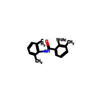 CC(=O)Nc1c(C)cccc1C(=O)Nc1c(C)cccc1C